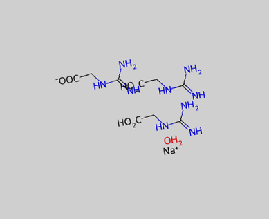 N=C(N)NCC(=O)O.N=C(N)NCC(=O)O.N=C(N)NCC(=O)[O-].O.[Na+]